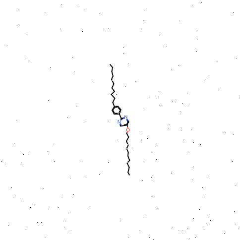 CCCCCCCCCCCCOc1cnc(-c2ccc(CCCCCCCCCCC)cc2)nc1